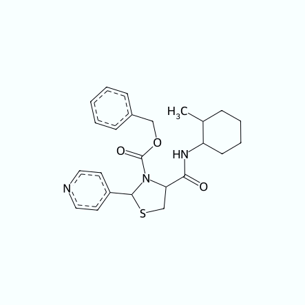 CC1CCCCC1NC(=O)C1CSC(c2ccncc2)N1C(=O)OCc1ccccc1